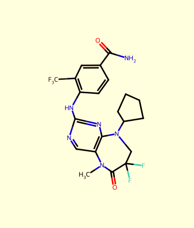 CN1C(=O)C(F)(F)CN(C2CCCC2)c2nc(Nc3ccc(C(N)=O)cc3C(F)(F)F)ncc21